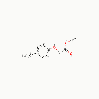 CC(C)OC(=O)COc1ccc(S(=O)(=O)O)cc1